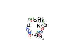 Cc1cc(/C=C/C(=O)N2CCN(Cc3ccc(CCOc4ccc(C(C)C)cc4)cc3)CC2)cc(Cl)c1Oc1ccc(OCc2cccc(F)c2C)cn1.Cl